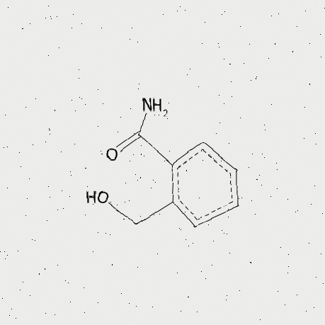 NC(=O)c1ccccc1CO